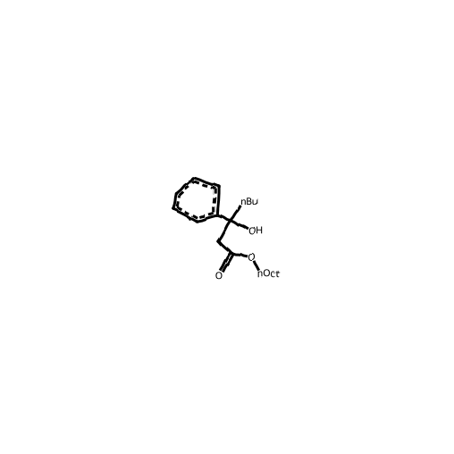 CCCCCCCCOC(=O)CC(O)(CCCC)c1ccccc1